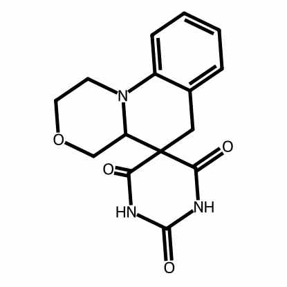 O=C1NC(=O)C2(Cc3ccccc3N3CCOCC32)C(=O)N1